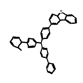 CC1C=CC=CC1c1ccc(C(c2ccc(C3=CC4c5ccccc5SC4C=C3)cc2)c2ccc(-c3ccccc3)cc2)cc1